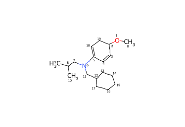 COC1C=CC(N(CC(C)C)CC2CCCCC2)=CC1